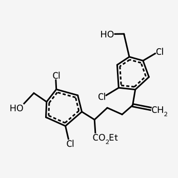 C=C(CCC(C(=O)OCC)c1cc(Cl)c(CO)cc1Cl)c1cc(Cl)c(CO)cc1Cl